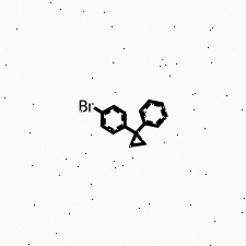 Brc1ccc(C2(c3ccccc3)CC2)cc1